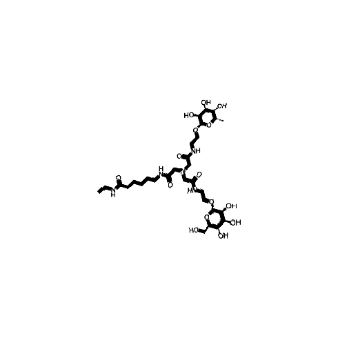 CCNC(=O)CCCCCNC(=O)CN(CC(=O)NCCO[C@@H]1O[C@H](CO)[C@@H](O)[C@H](O)[C@@H]1O)CC(=O)NCCO[C@@H]1O[C@@H](C)[C@@H](O)[C@@H](O)[C@@H]1O